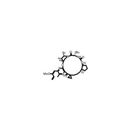 C=C/C(=C\c1nc2c(nc1C)C(F)(F)C1(CCC[C@@H]3CCC[C@H]3OC(=O)N[C@@H](C(C)(C)C)C(=O)N3C[C@H](O2)[C@@H](C)[C@H]3C(C)=O)CC1)OC